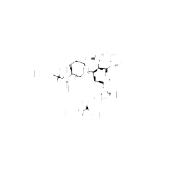 CNc1nc(N(C)C)cc(N2CCCC(NC(C)(C)C)C2)c1[N+](=O)[O-].NC(=O)O